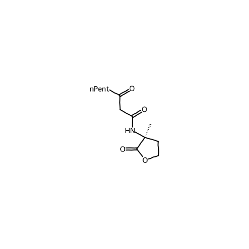 CCCCCC(=O)CC(=O)N[C@@]1(C)CCOC1=O